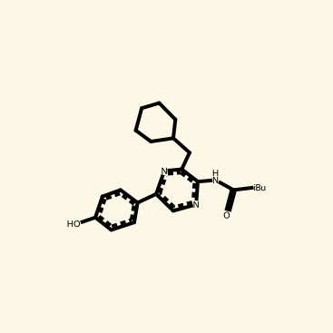 CCC(C)C(=O)Nc1ncc(-c2ccc(O)cc2)nc1CC1CCCCC1